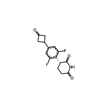 O=C1CC(c2cc(F)c([C@H]3CCC(=O)NC3=O)c(F)c2)C1